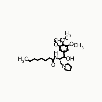 CCCCCCCC(=O)N[C@H](CN1CCCC1)C(O)c1cc(OC)c(OC)c(OC)c1